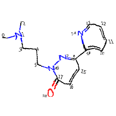 CN(C)CCCn1nc(-c2ccccn2)ccc1=O